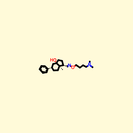 CN(C)CCCCON=C[C@H]1CC[C@]2(O)C[C@@H](c3ccccc3)CC[C@]12C